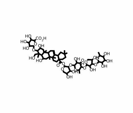 CC1OC(OC2C(O)COC(OC3C(C)OC(OC4C(OC(=O)C56CCC(C)(C)CC5C5=CCC7C8(C)CC(O)C(OC9OC(C(=O)O)C(O)C(O)C9O)C(C)(CO)C8C(O)CC7(C)C5(C)CC6)OCC(O)C4O)C(O)C3O)C2O)C(O)C(O)C1O